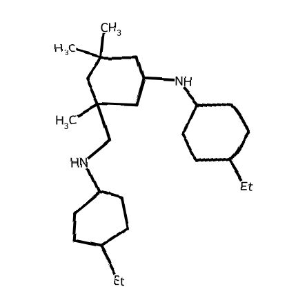 CCC1CCC(NCC2(C)CC(NC3CCC(CC)CC3)CC(C)(C)C2)CC1